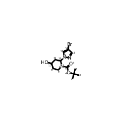 CC(C)(C)OC(=O)N1CCC(O)CC1n1cc(Br)cn1